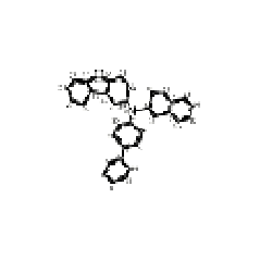 c1ccc(-c2ccc(N(c3ccc4ccccc4c3)c3cc4c(cn3)oc3ccccc34)cc2)cc1